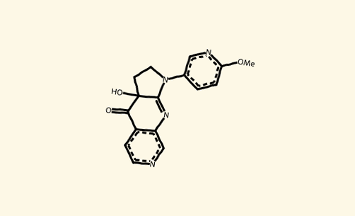 COc1ccc(N2CCC3(O)C(=O)c4ccncc4N=C23)cn1